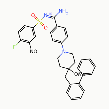 COC1(Cc2ccccc2-c2ccccc2)CCN(c2ccc(/C(N)=N\S(=O)(=O)c3ccc(F)c(N=O)c3)cc2)CC1